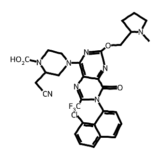 CN1CCCC1COc1nc(N2CCN(C(=O)O)C(CC#N)C2)c2nc(C(F)(F)F)n(-c3cccc4cccc(Cl)c34)c(=O)c2n1